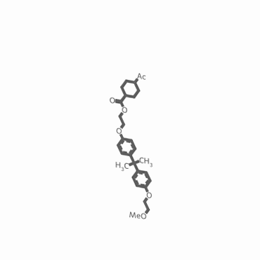 COCCOc1ccc(C(C)(C)c2ccc(OCCOC(=O)C3CCC(C(C)=O)CC3)cc2)cc1